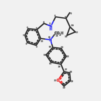 CC(CNCc1ccccc1N(C(=O)O)c1ccc(-c2ccco2)cc1)C1CC1